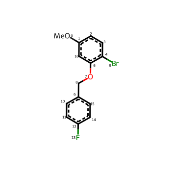 COc1ccc(Br)c(OCc2ccc(F)cc2)c1